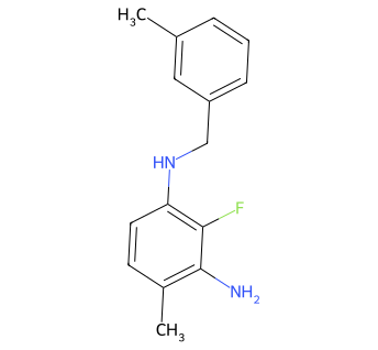 Cc1cccc(CNc2ccc(C)c(N)c2F)c1